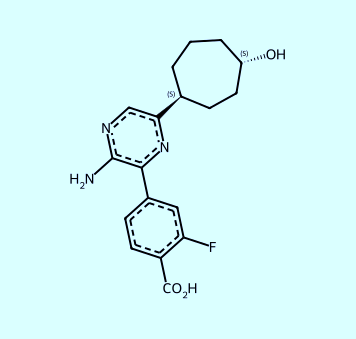 Nc1ncc([C@H]2CCC[C@H](O)CC2)nc1-c1ccc(C(=O)O)c(F)c1